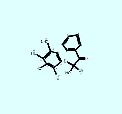 O=C(c1ccccc1)C(O)(O)O.O=Cc1ccc(O)c(O)c1O